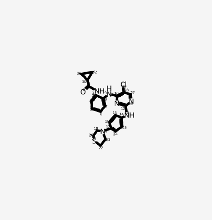 O=C(Nc1ccccc1Nc1nc(Nc2ccc(N3CCSCC3)cc2)ncc1Cl)C1CC1